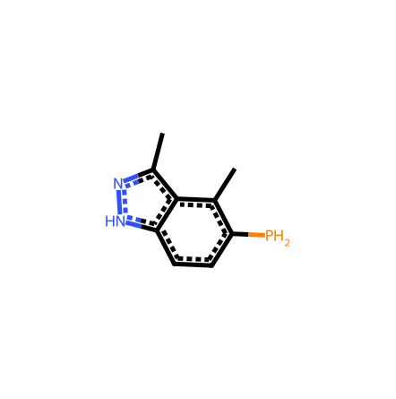 Cc1n[nH]c2ccc(P)c(C)c12